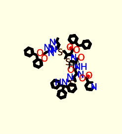 Cc1cc(SCC2=C(C(=O)OC(c3ccccc3)c3ccccc3)N3C(=O)[C@@H](NC(=O)C(=NOC(=O)c4cccnc4)c4csc(NC(c5ccccc5)(c5ccccc5)c5ccccc5)n4)[C@H]3SC2)n2nc(C(=O)OC(c3ccccc3)c3ccccc3)nc2n1